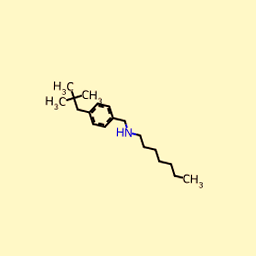 CCCCCCCNCc1ccc(CC(C)(C)C)cc1